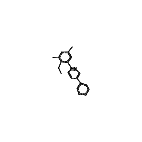 CCc1c(C)cc(C)cc1C1C=CC(c2ccccc2)=CN1